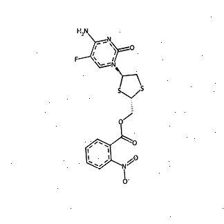 Nc1nc(=O)n([C@H]2CS[C@H](COC(=O)c3ccccc3[N+](=O)[O-])S2)cc1F